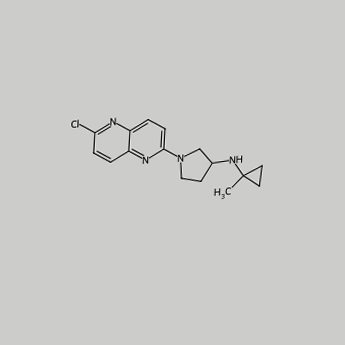 CC1(NC2CCN(c3ccc4nc(Cl)ccc4n3)C2)CC1